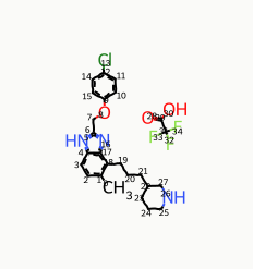 Cc1ccc2[nH]c(COc3ccc(Cl)cc3)nc2c1CCCC1CCCNC1.O=C(O)C(F)(F)F